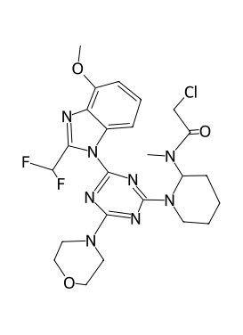 COc1cccc2c1nc(C(F)F)n2-c1nc(N2CCOCC2)nc(N2CCCCC2N(C)C(=O)CCl)n1